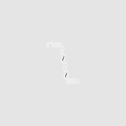 CCCCCCCC=CCCC=[C]OC